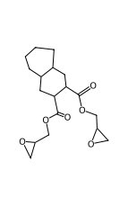 O=C(OCC1CO1)C1CC2CCCCC2CC1C(=O)OCC1CO1